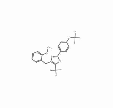 COc1ccccc1Cc1nc(-c2ccc(OC(F)(F)F)cc2)[nH]c1C(F)(F)F